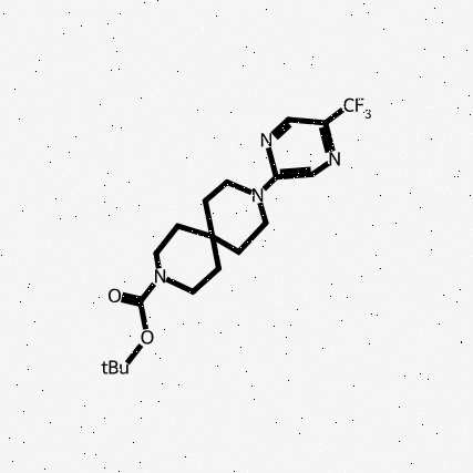 CC(C)(C)OC(=O)N1CCC2(CC1)CCN(c1cnc(C(F)(F)F)cn1)CC2